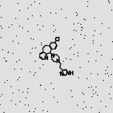 Clc1ccc2c(c1)CCc1cccnc1C2N1CCN(CCc2c[nH]cn2)CC1